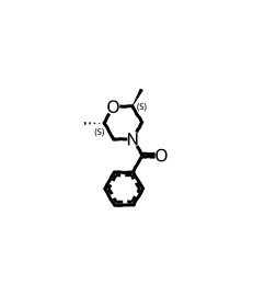 C[C@H]1CN(C(=O)c2ccccc2)C[C@H](C)O1